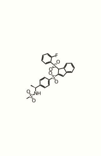 C[C@H](NS(C)(=O)=O)c1ccc(S(=O)(=O)C2=Cc3ccccc3C2S(=O)(=O)c2ccccc2F)cc1